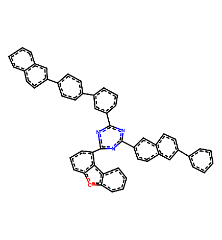 c1ccc(-c2ccc3cc(-c4nc(-c5cccc(-c6ccc(-c7ccc8ccccc8c7)cc6)c5)nc(-c5cccc6oc7ccccc7c56)n4)ccc3c2)cc1